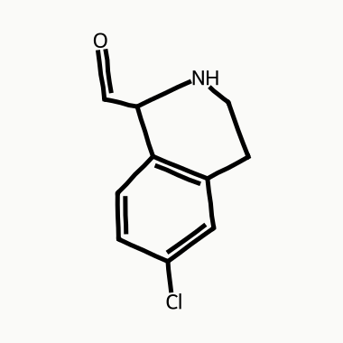 O=CC1NCCc2cc(Cl)ccc21